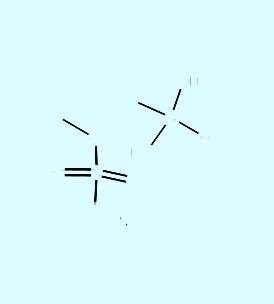 COS(=O)(=O)O.[Na+].[O-][Si](O)(O)O